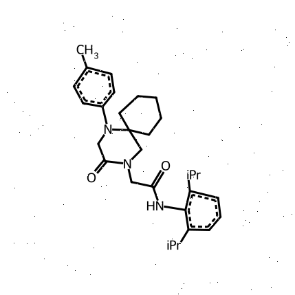 Cc1ccc(N2CC(=O)N(CC(=O)Nc3c(C(C)C)cccc3C(C)C)CC23CCCCC3)cc1